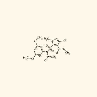 COC(=O)c1c(Cl)nn(C)c1S(=O)(=O)N(C(N)=O)c1nc(OC)cc(OC)n1